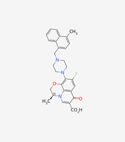 Cc1ccc(CN2CCN(c3c(F)cc4c(=O)c(C(=O)O)cn5c4c3OC[C@@H]5C)CC2)c2ccccc12